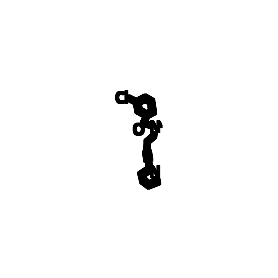 CN(CCC#Cc1ccccn1)C(=O)c1cccc(Cl)c1